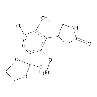 CCOc1c(C2(C)OCCO2)cc(Cl)c(C)c1C1CNC(=O)C1